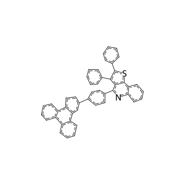 c1ccc(-c2sc3c(c(-c4ccc(-c5ccc6c7ccccc7c7ccccc7c6c5)cc4)nc4ccccc43)c2-c2ccccc2)cc1